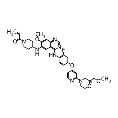 C=CC(=O)N1CCC(Nc2cc3c(Nc4ccc(Oc5ccnc(N6CCO[C@H](COC)C6)c5)cc4F)ncnc3cc2OC)CC1